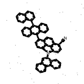 N#Cc1ccc2c3c1ccc1c(-c4c5ccccc5c(-c5cccc6ccccc56)c5ccccc45)ccc(c13)n2-c1cc2ccccc2c2ccccc12